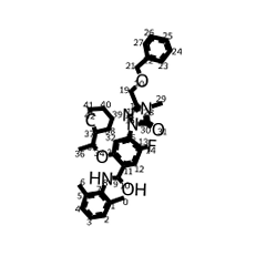 Cc1cccc(C)c1NC(O)c1cc(F)c(-n2nc(COCc3ccccc3)n(C)c2=O)cc1OC(C)C1CCCCC1